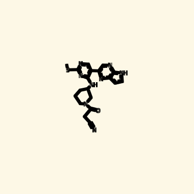 CSc1ncc(-c2cnc3[nH]ccc3n2)c(NC2CCCN(C(=O)CC#N)C2)n1